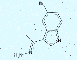 C/C(=N\N)c1cnn2ccc(Br)cc12